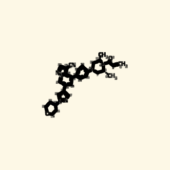 C=CC(=O)N1[C@H](C)CN(c2ccc(-c3cc(-c4cnn(C5CCOCC5)c4)cn4ncc(C#N)c34)cc2)C[C@@H]1C